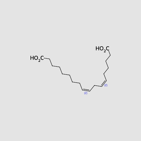 O=C(O)CCCC/C=C\C/C=C\CCCCCCCC(=O)O